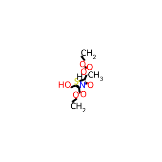 C=CCOC(=O)O[C@H](C)[C@@H]1C(=O)N2C(C(=O)OCC=C)=C(CO)S[C@H]12